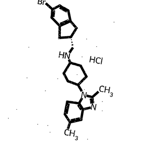 Cc1ccc2c(c1)nc(C)n2C1CCC(NC[C@H]2Cc3ccc(Br)cc3C2)CC1.Cl